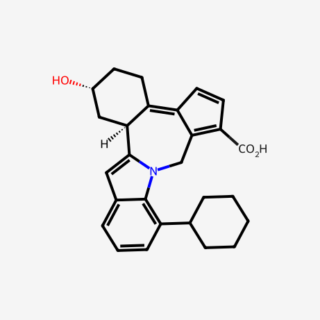 O=C(O)C1=C2Cn3c(cc4cccc(C5CCCCC5)c43)[C@H]3C[C@H](O)CCC3=C2C=C1